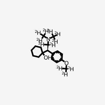 [2H]C([2H])([2H])Oc1ccc([C@@H](C2(O)CCCCC2)C([2H])([2H])N(C([2H])([2H])[2H])C([2H])([2H])[2H])cc1